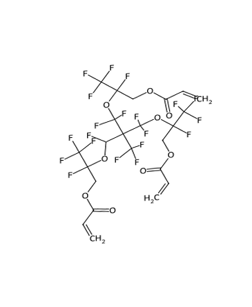 C=CC(=O)OCC(F)(OC(F)C(C(F)(F)F)(C(F)(F)OC(F)(COC(=O)C=C)C(F)(F)F)C(F)(F)OC(F)(COC(=O)C=C)C(F)(F)F)C(F)(F)F